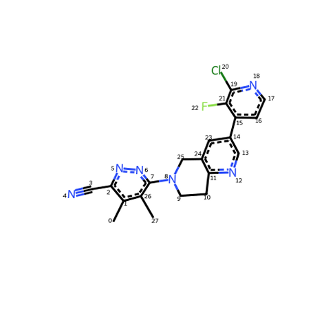 Cc1c(C#N)nnc(N2CCc3ncc(-c4ccnc(Cl)c4F)cc3C2)c1C